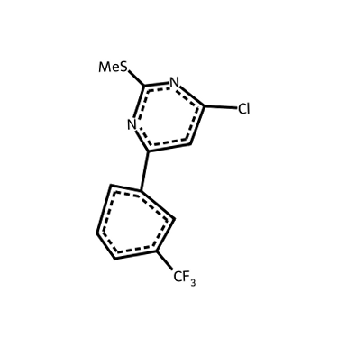 CSc1nc(Cl)cc(-c2cccc(C(F)(F)F)c2)n1